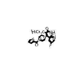 O=C(O)c1c(N2CCN(C(=O)c3cccs3)CC2)c2cc(F)cnc2[nH]c1=O